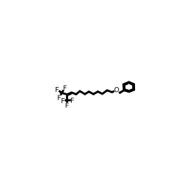 FC(F)(F)C(=CCCCCCCCCCOCc1ccccc1)C(F)(F)F